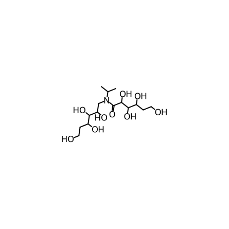 CC(C)N(CC(O)C(O)C(O)CCO)C(=O)C(O)C(O)C(O)CCO